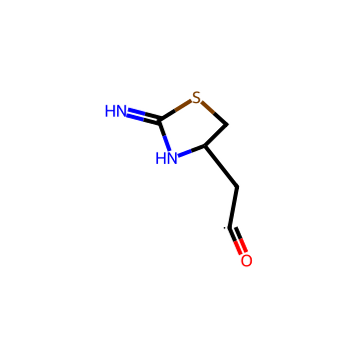 N=C1NC(C[C]=O)CS1